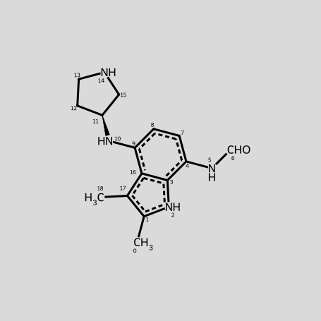 Cc1[nH]c2c(NC=O)ccc(N[C@H]3CCNC3)c2c1C